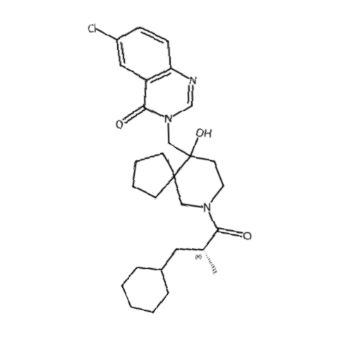 C[C@H](CC1CCCCC1)C(=O)N1CCC(O)(Cn2cnc3ccc(Cl)cc3c2=O)C2(CCCC2)C1